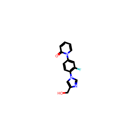 O=c1ccccn1-c1ccc(-n2cnc(CO)c2)c(F)c1